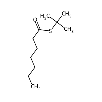 CCCCCCC(=O)SC(C)(C)C